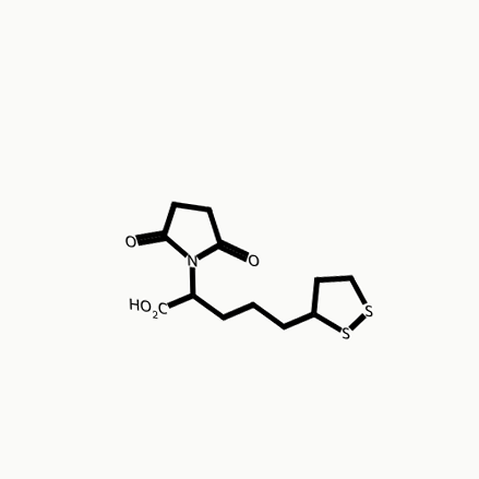 O=C(O)C(CCCC1CCSS1)N1C(=O)CCC1=O